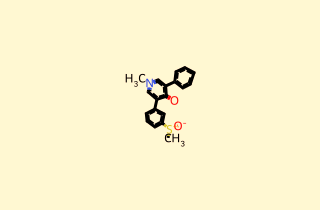 Cn1cc(-c2ccccc2)c(=O)c(-c2cccc([S+](C)[O-])c2)c1